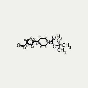 CC(C)(C)OC(=O)N1CCC(c2cc(C=O)cs2)CC1